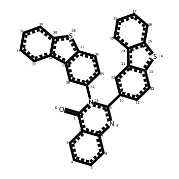 O=c1c2ccccc2nc(-c2ccc3sc4ccccc4c3c2)n1-c1ccc2sc3ccccc3c2c1